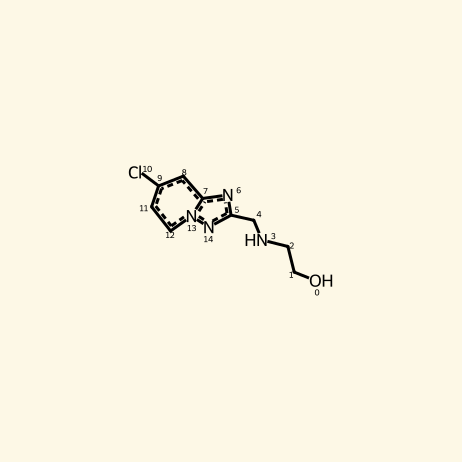 OCCNCc1nc2cc(Cl)ccn2n1